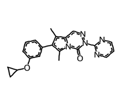 Cc1c(-c2cccc(OC3CC3)c2)c(C)n2c(=O)n(-c3ncccn3)ncc12